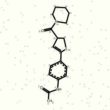 CC(=O)Nc1ccc(C2=CC(C(=O)N3CCCCC3)CS2)cc1